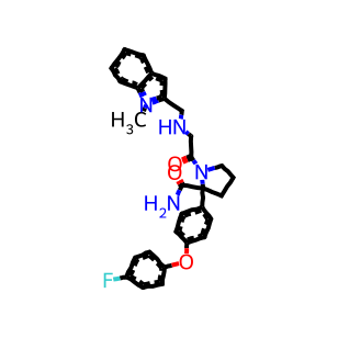 Cn1c(CNCC(=O)N2CCCC2(C(N)=O)c2ccc(Oc3ccc(F)cc3)cc2)cc2ccccc21